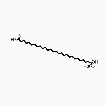 O=P(O)(O)CCCCCCCCCCCCCCCCCCCCCCCCCCC(=S)S